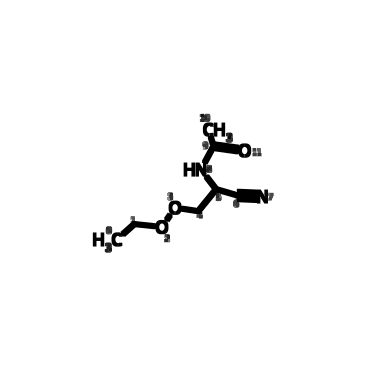 CCOOCC(C#N)NC(C)=O